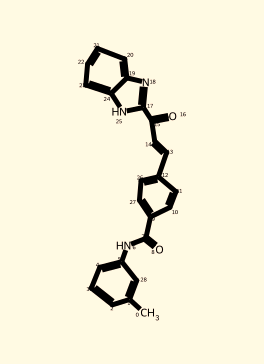 Cc1cccc(NC(=O)c2ccc(C=CC(=O)c3nc4ccccc4[nH]3)cc2)c1